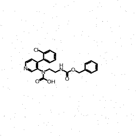 O=C(NCCN(C(=O)O)c1cnccc1-c1ccccc1Cl)OCc1ccccc1